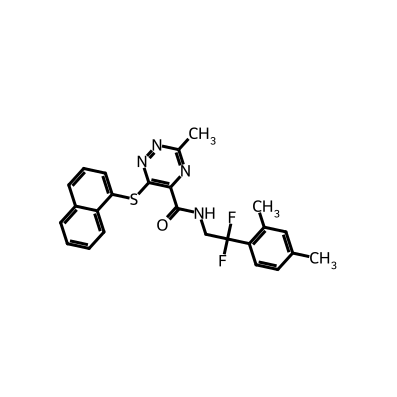 Cc1ccc(C(F)(F)CNC(=O)c2nc(C)nnc2Sc2cccc3ccccc23)c(C)c1